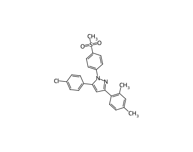 Cc1ccc(-c2cc(-c3ccc(Cl)cc3)n(-c3ccc(S(C)(=O)=O)cc3)n2)c(C)c1